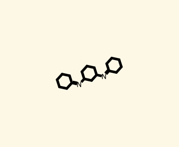 C1CCC(=NC2CCCC(N=C3CCCCC3)C2)CC1